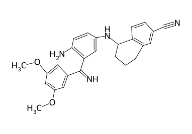 COc1cc(OC)cc(C(=N)c2cc(NC3CCCc4cc(C#N)ccc43)ccc2N)c1